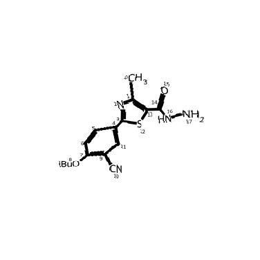 Cc1nc(-c2ccc(OCC(C)C)c(C#N)c2)sc1C(=O)NN